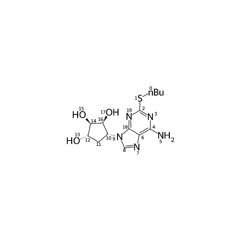 CCCCSc1nc(N)c2ncn([C@@H]3C[C@H](O)[C@@H](O)[C@H]3O)c2n1